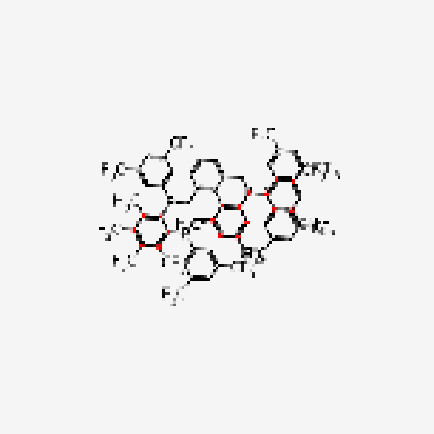 Cc1cc(P(Cc2cccc(CP(c3cc(C(F)(F)F)cc(C(F)(F)F)c3)c3cc(C(F)(F)F)cc(C(F)(F)F)c3)c2-c2c(CP(c3cc(C)cc(C(F)(F)F)c3)c3cc(C(F)(F)F)cc(C(F)(F)F)c3)cccc2CP(c2cc(C(F)(F)F)cc(C(F)(F)F)c2)c2cc(C(F)(F)F)cc(C(F)(F)F)c2)c2cc(C(F)(F)F)cc(C(F)(F)F)c2)cc(C(F)(F)F)c1